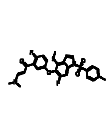 CSc1c(Oc2ccc(F)c(C(=O)C=CN(C)C)c2)c(F)cc2c1ccn2S(=O)(=O)c1ccc(C)cc1